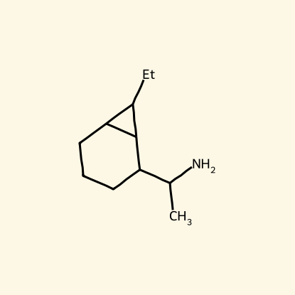 CCC1C2CCCC(C(C)N)C12